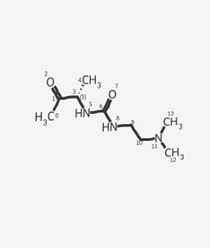 CC(=O)[C@H](C)NC(=O)NCCN(C)C